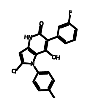 Cc1ccc(-n2c(Cl)cc3[nH]c(=O)c(-c4cccc(F)c4)c(O)c32)cc1